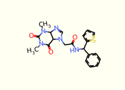 CN1C(=O)C2C(N=CN2CC(=O)NC(c2ccccc2)c2cccs2)N(C)C1=O